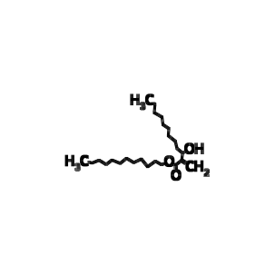 C=C(C(=O)OCCCCCCCCCCCC)C(O)CCCCCCCCC